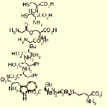 CC(C)C[C@H](N)C(=O)O.CC(C)C[C@H](N)C(=O)O.CC[C@H](C)[C@H](N)C(=O)O.CC[C@H](C)[C@H](N)C(=O)O.NCC(=O)O.NCC(=O)O.NCC(=O)OC[C@H](N)C(=O)O.NCCCC[C@H](N)C(=O)O.N[C@@H](CS)C(=O)O.N[C@@H](CS)C(=O)O.N[C@@H](Cc1c[nH]c2ccccc12)C(=O)O